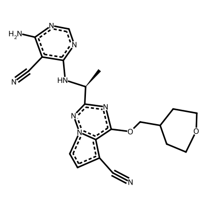 C[C@H](Nc1ncnc(N)c1C#N)c1nc(OCC2CCOCC2)c2c(C#N)ccn2n1